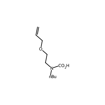 C=CCOCCN(CCCC)C(=O)O